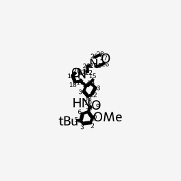 COc1ccc(C(C)(C)C)cc1C(=O)Nc1ccc(C)c(C2C=CON2CCN2CCOCC2)c1